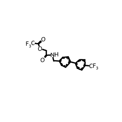 O=C(COC(=O)C(F)(F)F)NCc1ccc(-c2ccc(C(F)(F)F)cc2)cc1